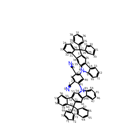 N#Cc1cc(C#N)c(-n2c3ccccc3c3cc4c(cc32)-c2ccccc2C4(c2ccccc2)c2ccccc2)cc1-n1c2ccccc2c2cc3c(cc21)-c1ccccc1C3(c1ccccc1)c1ccccc1